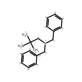 CC(C)(N)CN(Cc1ccccc1)Cc1ccccc1